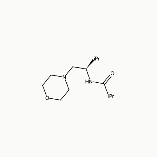 CC(C)C(=O)N[C@@H](CN1CCOCC1)C(C)C